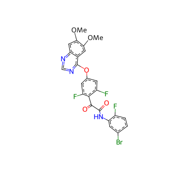 COc1cc2ncnc(Oc3cc(F)c(C(=O)C(=O)Nc4cc(Br)ccc4F)c(F)c3)c2cc1OC